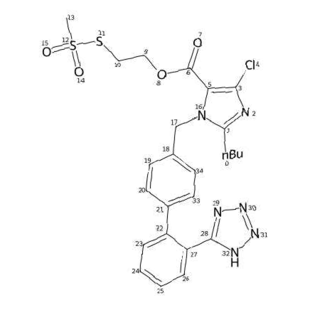 CCCCc1nc(Cl)c(C(=O)OCCSS(C)(=O)=O)n1Cc1ccc(-c2ccccc2-c2nnn[nH]2)cc1